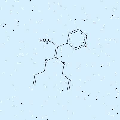 C=CCSC(SCC=C)=C(C(=O)O)c1cccnc1